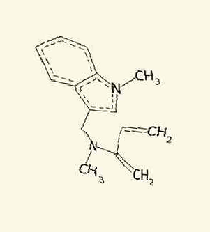 C=CC(=C)N(C)Cc1cn(C)c2ccccc12